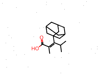 CC(C(=O)O)=C(C(C)C)C12CC3CC(CC(C3)C1)C2